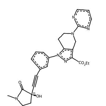 CCOC(=O)c1nn(-c2cccc(C#C[C@]3(O)CCN(C)C3=O)c2)c2c1CN(c1ncccn1)CC2